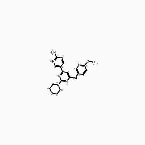 COc1ccc(Nc2cc(-c3cnc(N)nc3)nc(N3CCOCC3)n2)cn1